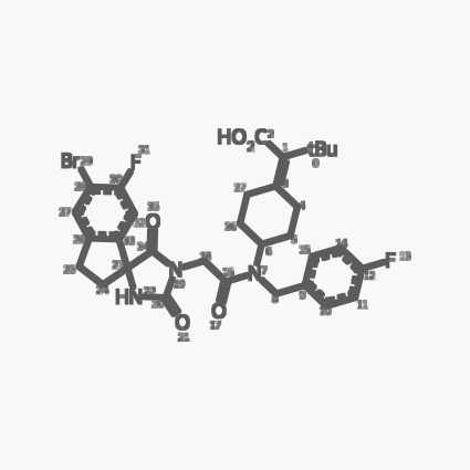 CC(C)(C)C(C(=O)O)=C1CCC(N(Cc2ccc(F)cc2)C(=O)CN2C(=O)NC3(CCc4cc(Br)c(F)cc43)C2=O)CC1